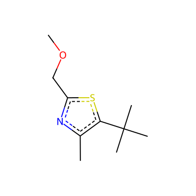 COCc1nc(C)c(C(C)(C)C)s1